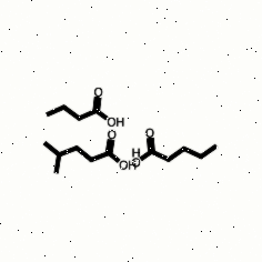 CC(C)CCC(=O)O.CCCC(=O)O.CCCCC(=O)O